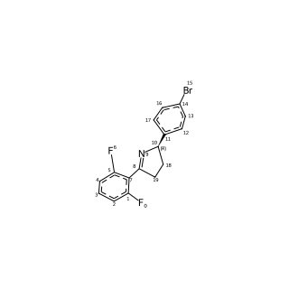 Fc1cccc(F)c1C1=N[C@@H](c2ccc(Br)cc2)CC1